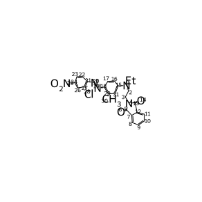 CCN(CCN1C(=O)c2ccccc2C1=O)c1ccc(/N=N/c2ccc([N+](=O)[O-])cc2Cl)c(C)c1